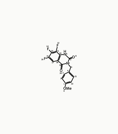 COc1ccc(Cn2c(=O)[nH]c3c(F)c(F)c(F)cc3c2=O)cc1